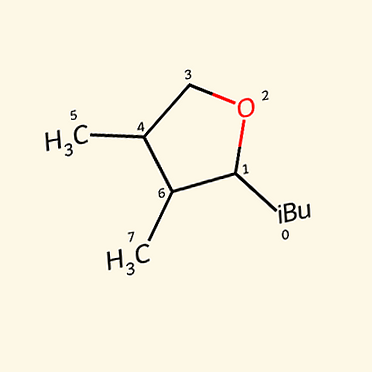 CCC(C)C1OCC(C)C1C